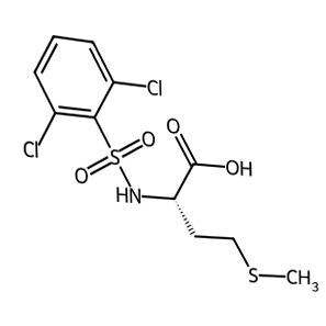 CSCC[C@H](NS(=O)(=O)c1c(Cl)cccc1Cl)C(=O)O